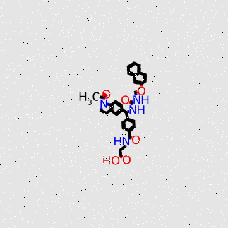 CC(=O)N1CCc2cc(C(NC(=O)NCOc3ccc4ccccc4c3)c3ccc(C(=O)NCCC(=O)O)cc3)ccc21